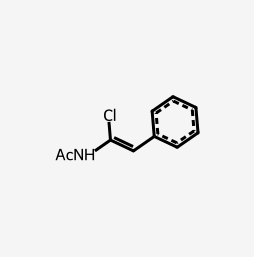 CC(=O)NC(Cl)=Cc1ccccc1